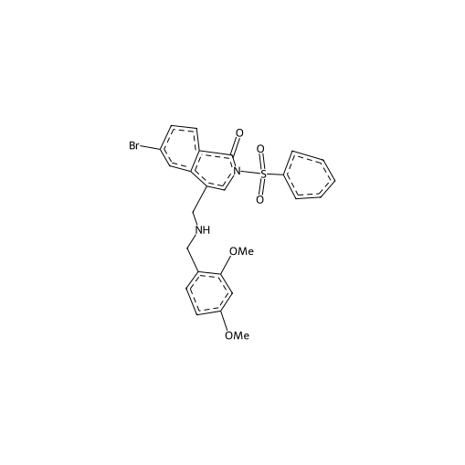 COc1ccc(CNCc2cn(S(=O)(=O)c3ccccc3)c(=O)c3ccc(Br)cc23)c(OC)c1